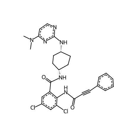 CN(C)c1ccnc(N[C@H]2CC[C@@H](NC(=O)c3cc(Cl)cc(Cl)c3NC(=O)C#Cc3ccccc3)CC2)n1